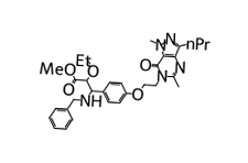 CCCc1nn(C)c2c(=O)n(CCOc3ccc(C(NCc4ccccc4)C(OCC)C(=O)OC)cc3)c(C)nc12